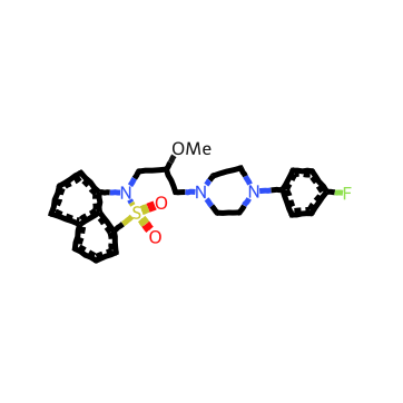 COC(CN1CCN(c2ccc(F)cc2)CC1)CN1c2cccc3cccc(c23)S1(=O)=O